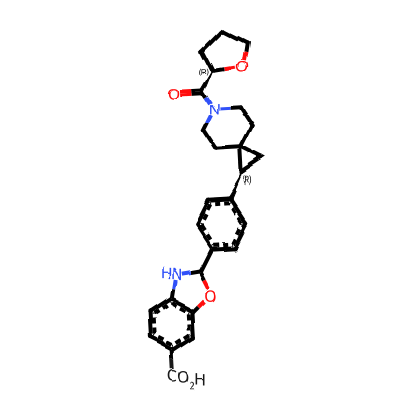 O=C(O)c1ccc2c(c1)OC(c1ccc([C@@H]3CC34CCN(C(=O)[C@H]3CCCO3)CC4)cc1)N2